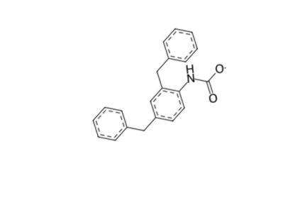 [O]C(=O)Nc1ccc(Cc2ccccc2)cc1Cc1ccccc1